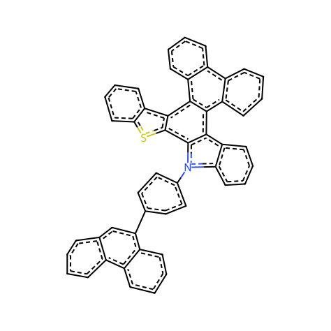 c1ccc2c(c1)cc(-c1ccc(-n3c4ccccc4c4c5c6ccccc6c6ccccc6c5c5c6ccccc6sc5c43)cc1)c1ccccc12